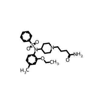 CCOc1cc(C)ccc1N(C1CCN(CCCC(N)=O)CC1)S(=O)(=O)c1ccccc1